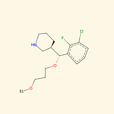 CCOCCCO[C@@H](c1cccc(Cl)c1F)[C@@H]1CCCNC1